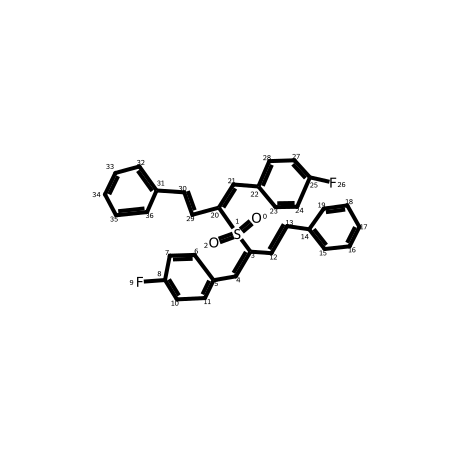 O=S(=O)(C(=C\c1ccc(F)cc1)/C=C/c1ccccc1)C(=C\c1ccc(F)cc1)/C=C/c1ccccc1